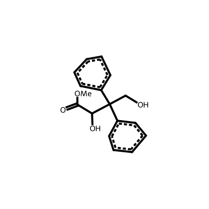 COC(=O)C(O)C(CO)(c1ccccc1)c1ccccc1